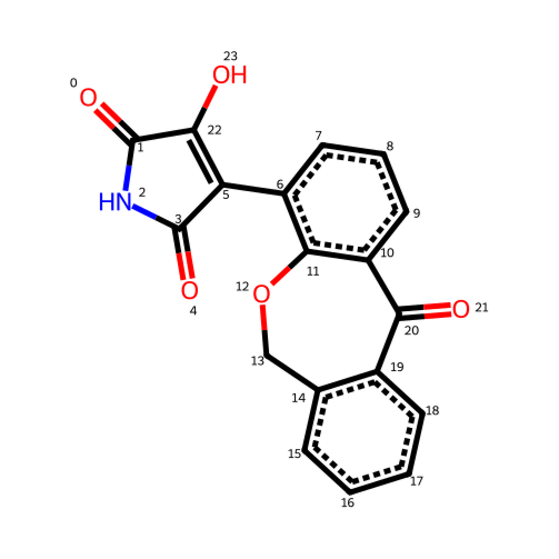 O=C1NC(=O)C(c2cccc3c2OCc2ccccc2C3=O)=C1O